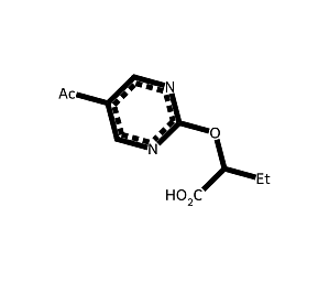 CCC(Oc1ncc(C(C)=O)cn1)C(=O)O